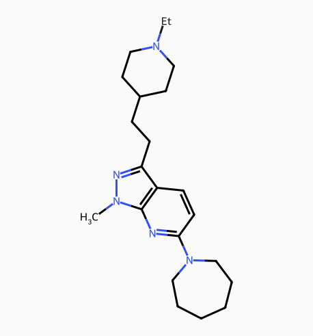 CCN1CCC(CCc2nn(C)c3nc(N4CCCCCC4)ccc23)CC1